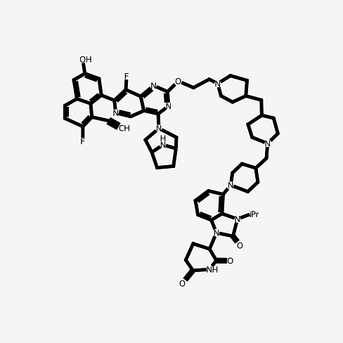 C#Cc1c(F)ccc2cc(O)cc(-c3ncc4c(N5CC6CCC(C5)N6)nc(OCCN5CCC(CC6CCN(CC7CCN(c8cccc9c8n(C(C)C)c(=O)n9C8CCC(=O)NC8=O)CC7)CC6)CC5)nc4c3F)c12